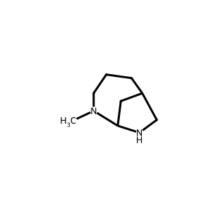 CN1CCCC2CNC1C2